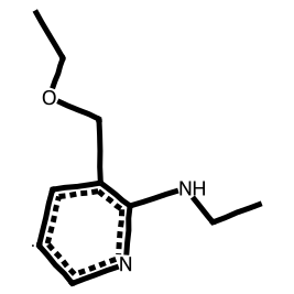 CCNc1nc[c]cc1COCC